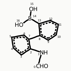 O=CNc1ccccc1-c1ccccc1B(O)O